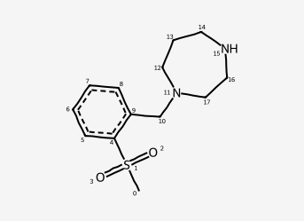 CS(=O)(=O)c1ccccc1CN1CCCNCC1